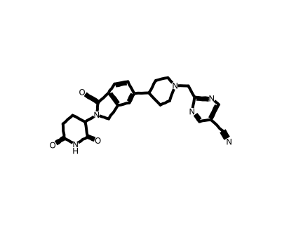 N#Cc1cnc(CN2CCC(c3ccc4c(c3)CN(C3CCC(=O)NC3=O)C4=O)CC2)nc1